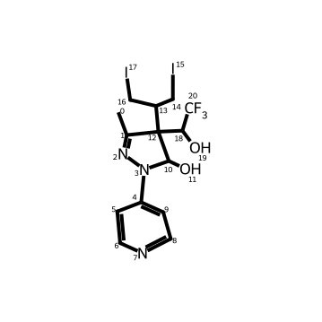 CC1=NN(c2ccncc2)C(O)C1(C(CI)CI)C(O)C(F)(F)F